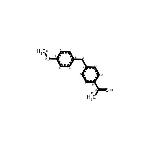 COc1ccc(Cc2ccc(C(C)=S)cc2)cc1